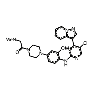 CNCC(=O)N1CCN(c2ccc(Nc3ncc(Cl)c(-c4cnn5ccccc45)n3)c(OC)c2)CC1